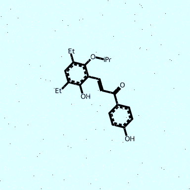 CCc1cc(CC)c(OC(C)C)c(C=CC(=O)c2ccc(O)cc2)c1O